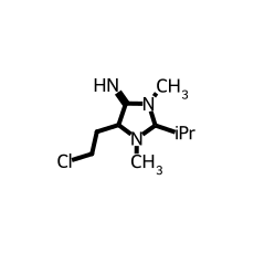 CC(C)C1N(C)C(=N)C(CCCl)N1C